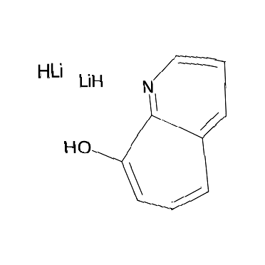 Oc1cccc2cccnc12.[LiH].[LiH]